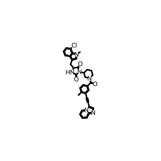 Cc1ccc(C(=O)N2CCCC(N3C(=O)NC(Cc4cn(C)c5c(Cl)cccc45)C3=O)C2)cc1C#Cc1cnc2ccccn12